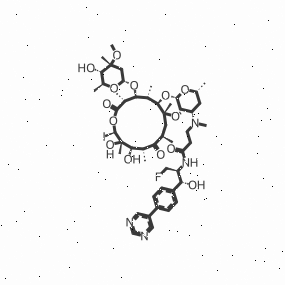 CO[C@]1(C)C[C@@H](C)C(=O)[C@H](C)[C@@H](O)[C@](C)(O)[C@@H](I)OC(=O)[C@H](C)[C@@H](O[C@H]2C[C@@](C)(OC)[C@@H](O)[C@H](C)O2)[C@H](C)[C@H]1O[C@H]1C[C@@H](N(C)CCC(=O)N[C@H](CF)[C@H](O)c2ccc(-c3cncnc3)cc2)C[C@@H](C)O1